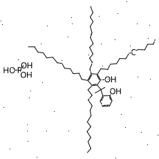 CCCCCCCCCCCCCc1c(O)c(C(C)(C)c2ccccc2O)c(CCCCCCCCCCCCC)c(CCCCCCCCCCCCC)c1CCCCCCCCCCCCC.OP(O)O